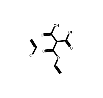 C=CCl.C=COC(=O)C(C(=O)O)C(=O)O